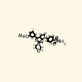 COc1cccc(-c2nc(N3CCOCC3)nc3c2CCN3c2ccc(S(N)(=O)=O)cc2)c1